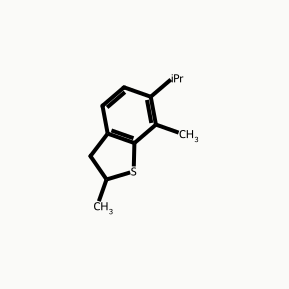 Cc1c(C(C)C)ccc2c1SC(C)C2